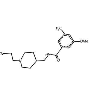 COc1cc(C(=O)NCC2CCN(CCNC(F)(F)F)CC2)cc(C(F)(F)F)c1